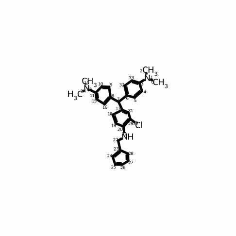 CN(C)c1ccc(C(c2ccc(N(C)C)cc2)c2ccc(NCc3ccccc3)c(Cl)c2)cc1